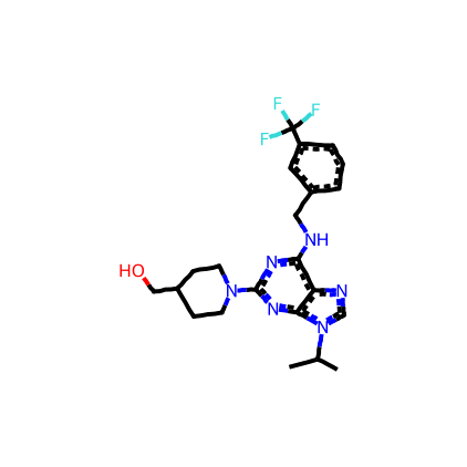 CC(C)n1cnc2c(NCc3cccc(C(F)(F)F)c3)nc(N3CCC(CO)CC3)nc21